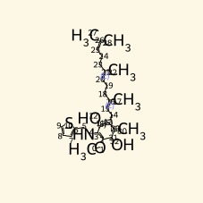 COC1=C(NCc2cccs2)[C@@H](O)[C@@H](C/C=C(\C)CC/C=C(\C)CCC=C(C)C)[C@H](C)C1O